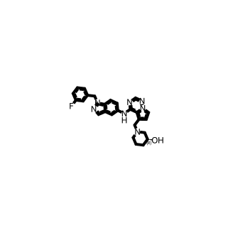 O[C@@H]1CCCN(Cc2ccn3ncnc(Nc4ccc5c(cnn5Cc5cccc(F)c5)c4)c23)C1